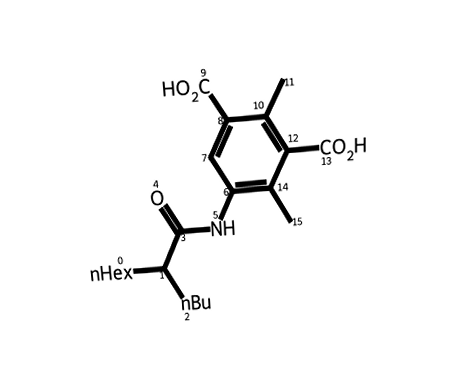 CCCCCCC(CCCC)C(=O)Nc1cc(C(=O)O)c(C)c(C(=O)O)c1C